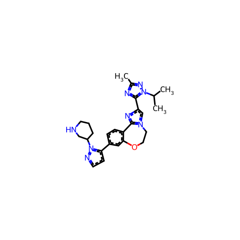 Cc1nc(-c2cn3c(n2)-c2ccc(-c4ccnn4C4CCCNC4)cc2OCC3)n(C(C)C)n1